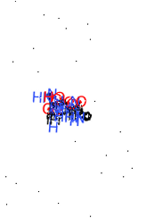 CC(C)CCC(=O)N[C@@H](CC(C)C)C(=O)N[C@@H](Cc1cnc[nH]1)C(=O)N[C@@H](CO)C(=O)N[C@@H](CC(C)C)C(=O)N[C@@H](Cc1c[nH]c2ccccc12)C(N)=O